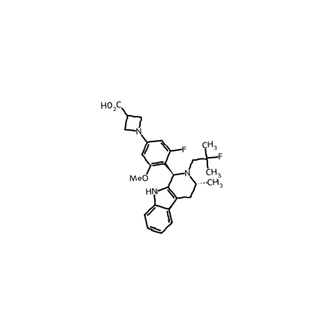 COc1cc(N2CC(C(=O)O)C2)cc(F)c1[C@@H]1c2[nH]c3ccccc3c2C[C@@H](C)N1CC(C)(C)F